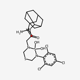 NC(=O)C12CC3CC(C1)C(NC(=O)CN1CSCN(c4c(Cl)cc(Cl)cc4Cl)S1(O)O)C(C3)C2